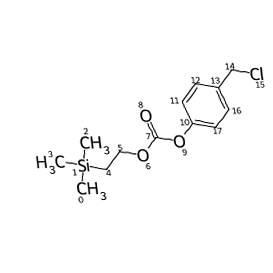 C[Si](C)(C)CCOC(=O)Oc1ccc(CCl)cc1